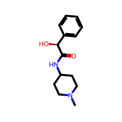 CN1CCC(NC(=O)[C@@H](O)c2ccccc2)CC1